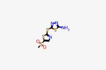 CS(=O)(=O)c1cnc(Sc2nnc(N)s2)s1